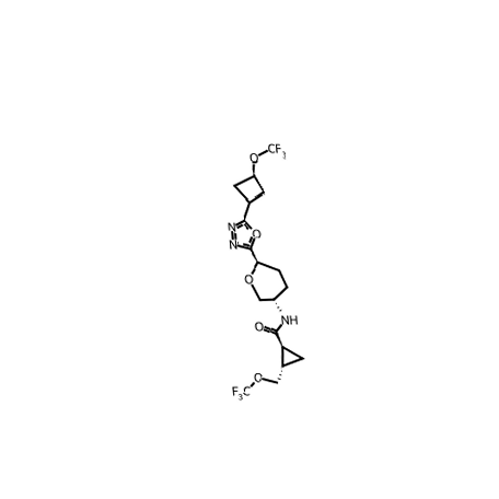 O=C(N[C@H]1CC[C@H](c2nnc(C3CC(OC(F)(F)F)C3)o2)OC1)[C@H]1C[C@@H]1COC(F)(F)F